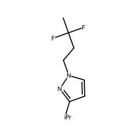 CC(C)c1ccn(CCC(C)(F)F)n1